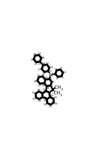 CC1(C)c2cc(N(c3ccccc3)c3ccc(-c4ccccc4)cc3)c3ccccc3c2-c2c1c1ccccc1c1ccccc21